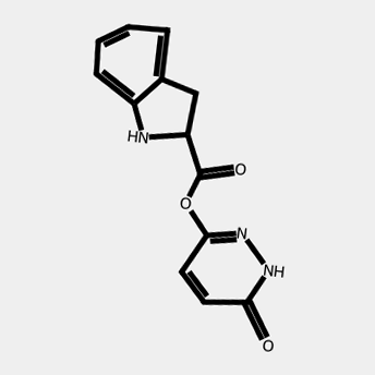 O=C(Oc1ccc(=O)[nH]n1)C1Cc2ccccc2N1